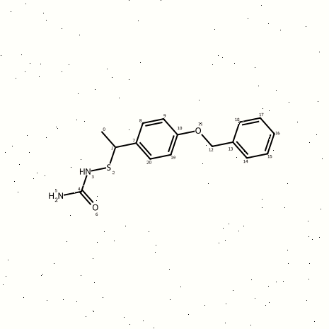 CC(SNC(N)=O)c1ccc(OCc2ccccc2)cc1